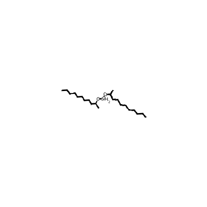 CCCCCCCCCC(C)O[SiH2]OC(C)CCCCCCCCC